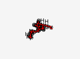 Cc1ccc(CCCC(=O)NCCCCC(CSC2CC(=O)N(CCCC(=O)N3CCN(CCCCOc4ccc5nccc(C(=O)NCC(=O)N6CC(C)(F)C[C@@H]6C#N)c5c4)CC3)C2=O)NC(=O)CN2CCN(COC=O)CCN(COC=O)CCN(CC(=O)O)CC2)cc1